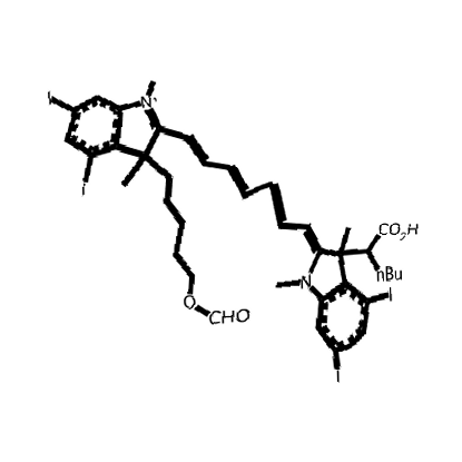 CCCCC(C(=O)O)C1(C)/C(=C/C=C/C=C/C=C/C2=[N+](C)c3cc(I)cc(I)c3C2(C)CCCCCOC=O)N(C)c2cc(I)cc(I)c21